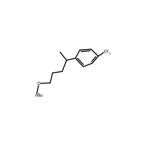 [CH2]CCCOCCCC(C)c1ccc(C(F)(F)F)cc1